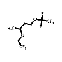 CC(C[CH]OC(F)(F)C(F)(F)F)OCC(F)(F)F